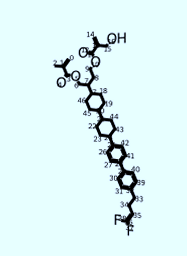 C=C(C)C(=O)OCC(CCOC(=O)C(=C)CO)C1CCC(C2CCC(c3ccc(-c4ccc(CCC=C(F)F)cc4)cc3)CC2)CC1